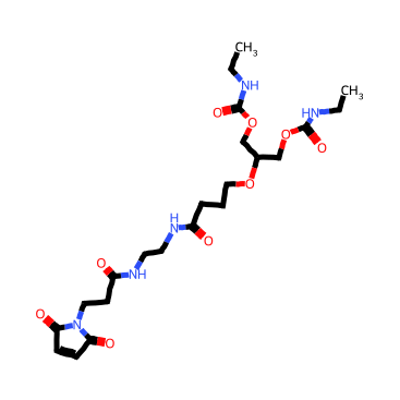 CCNC(=O)OCC(COC(=O)NCC)OCCCC(=O)NCCNC(=O)CCN1C(=O)C=CC1=O